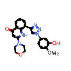 COc1ccc(-n2cc(-c3cccc4c(=O)cc(N5CCOCC5)[nH]c34)nn2)cc1O